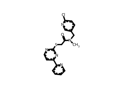 CN(Cc1ccc(Cl)nc1)C(=O)CSc1nccc(-c2ccccn2)n1